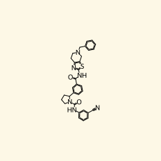 N#Cc1cccc(NC(=O)N2CCCC2c2cccc(C(=O)Nc3nc4c(s3)CN(Cc3ccccc3)CC4)c2)c1